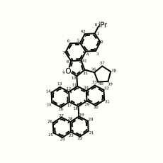 CC(C)c1ccc2c(ccc3oc(-c4c5ccccc5c(-c5cccc6ccccc56)c5ccccc45)c(C4CCCC4)c32)c1